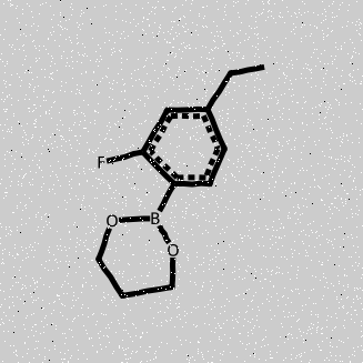 CCc1ccc(B2OCCCO2)c(F)c1